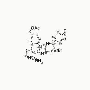 CC(=O)OCc1ccc(-n2c(-c3cccnc3N)nc3cc(Br)c(-c4ccc(F)cc4)nc32)cc1